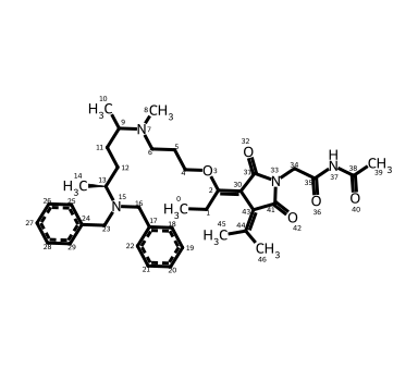 CC/C(OCCCN(C)C(C)CC[C@H](C)N(Cc1ccccc1)Cc1ccccc1)=C1/C(=O)N(CC(=O)NC(C)=O)C(=O)C1=C(C)C